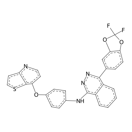 FC1(F)Oc2ccc(-c3nnc(Nc4ccc(Oc5ccnc6ccsc56)cc4)c4ccccc34)cc2O1